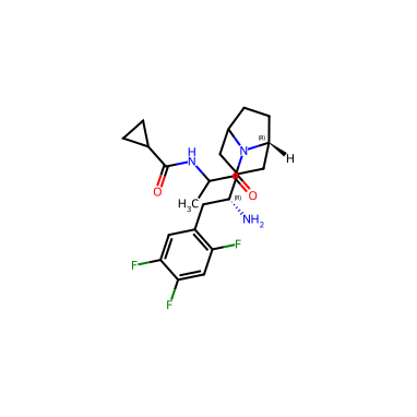 CC(NC(=O)C1CC1)C(=O)N1C2CC[C@@H]1CC([C@H](N)Cc1cc(F)c(F)cc1F)C2